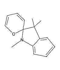 CN1c2ccccc2C(C)(C)C12C=CC=CO2